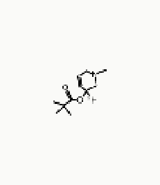 [2H]C1(OC(=O)C(C)(C)C)C=CCN(C)C1